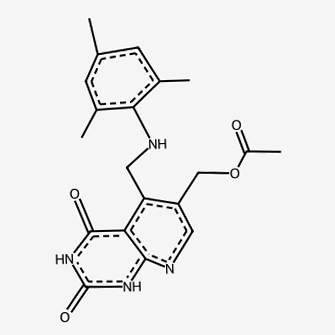 CC(=O)OCc1cnc2[nH]c(=O)[nH]c(=O)c2c1CNc1c(C)cc(C)cc1C